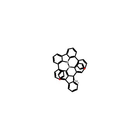 CC12c3ccccc3B(n3c4c(-c5ccccc5)cccc4c4cccc(-c5ccccc5)c43)c3cccc(c31)-c1ccccc12